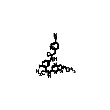 CCn1cc2ncc(N[C@@H](C)c3cc(NC(=O)Cc4ccc(C#N)cn4)ccc3F)nc2n1